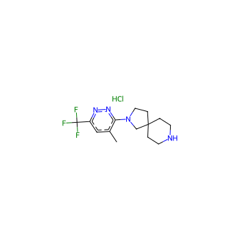 Cc1cc(C(F)(F)F)nnc1N1CCC2(CCNCC2)C1.Cl